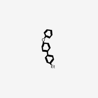 CCc1ccc(-c2ccc(Oc3ccccc3)cc2)cc1